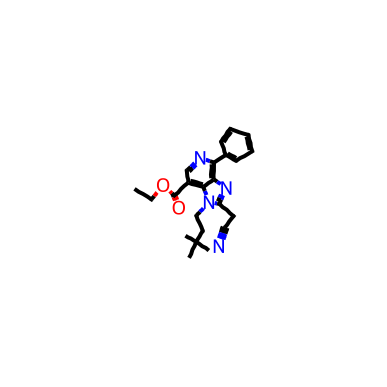 CCOC(=O)c1cnc(-c2ccccc2)c2nc(CC#N)n(CCC(C)(C)C)c12